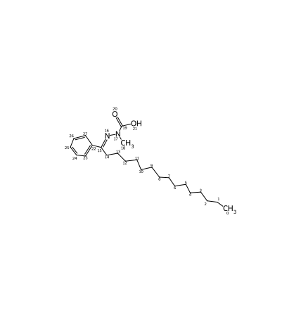 CCCCCCCCCCCCCCCC(=NN(C)C(=O)O)c1ccccc1